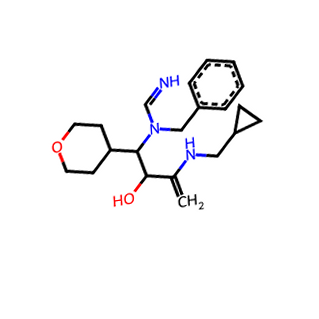 C=C(NCC1CC1)C(O)C(C1CCOCC1)N(C=N)Cc1ccccc1